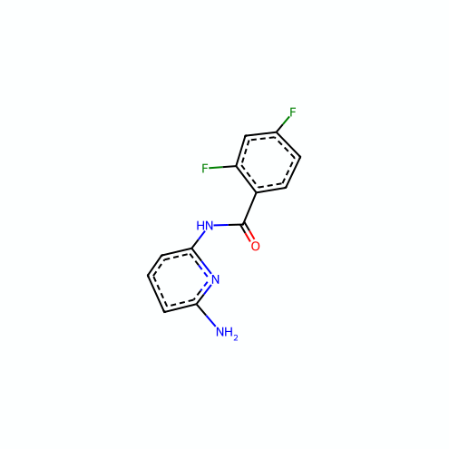 Nc1cccc(NC(=O)c2ccc(F)cc2F)n1